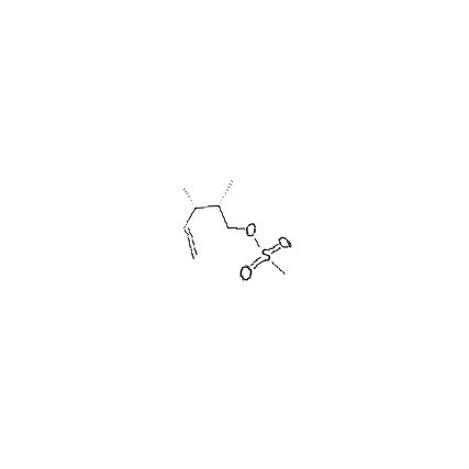 C=C[C@H](C)[C@H](C)COS(C)(=O)=O